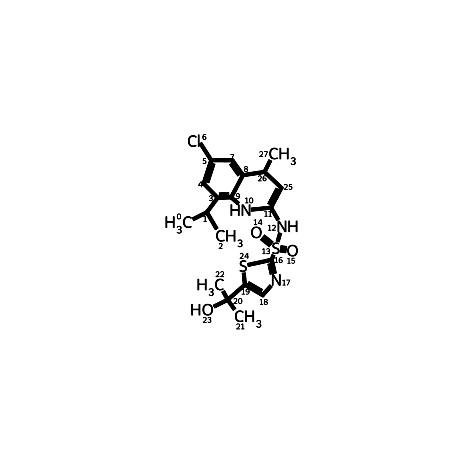 CC(C)c1cc(Cl)cc2c1NC(NS(=O)(=O)c1ncc(C(C)(C)O)s1)=CC2C